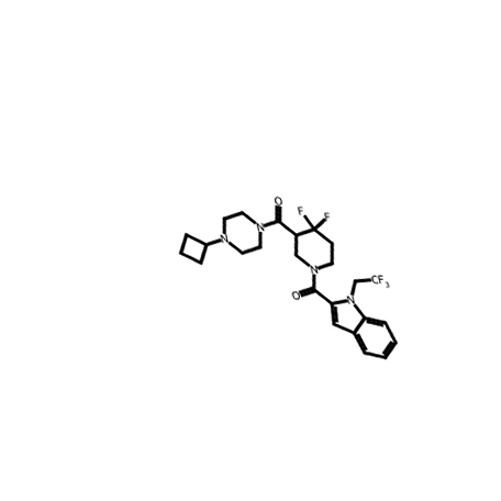 O=C(c1cc2ccccc2n1CC(F)(F)F)N1CCC(F)(F)C(C(=O)N2CCN(C3CCC3)CC2)C1